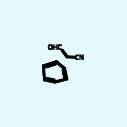 N#CCC=O.c1ccccc1